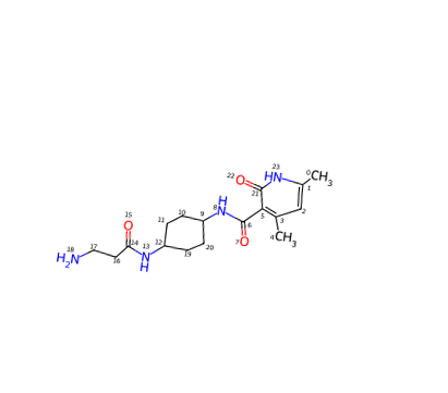 Cc1cc(C)c(C(=O)NC2CCC(NC(=O)CCN)CC2)c(=O)[nH]1